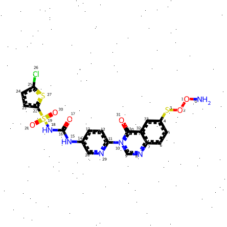 NOOSc1ccc2ncn(-c3ccc(NC(=O)NS(=O)(=O)c4ccc(Cl)s4)cn3)c(=O)c2c1